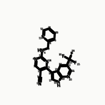 N#Cc1cnc(NCc2ccccn2)nc1-c1c[nH]c2ncc(C(F)(F)F)cc12